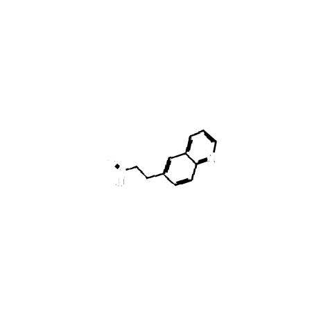 O=[SH](=O)CCc1ccc2ncccc2c1